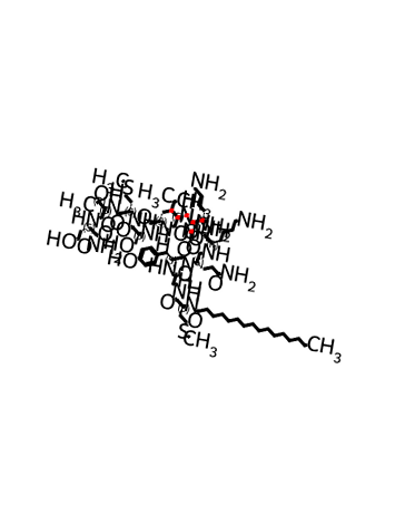 CCCCCCCCCCCCCCCC(=O)N[C@@H](CCSC)C(=O)NCC(=O)N[C@@H](Cc1ccc(O)cc1)C(=O)N[C@@H](CCC(N)=O)C(=O)N[C@H](CCCCN)C(=O)N[C@@H](CCCCN)C(=O)N[C@@H](CC(C)C)C(=O)N[C@@H](CCCNC(=N)N)C(=O)N[C@@H](CO)C(=O)N[C@@H](CCSC)C(=O)N[C@H](C(=O)N[C@@H](CC(=O)O)C(N)=O)[C@@H](C)O